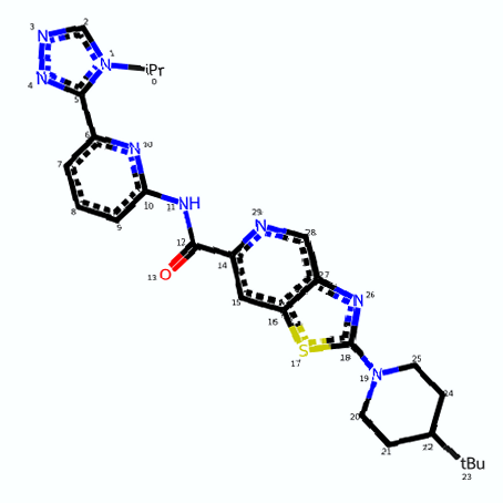 CC(C)n1cnnc1-c1cccc(NC(=O)c2cc3sc(N4CCC(C(C)(C)C)CC4)nc3cn2)n1